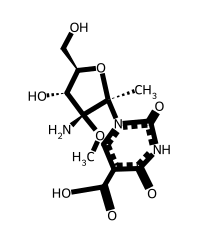 CO[C@]1(N)[C@H](O)[C@@H](CO)O[C@@]1(C)n1cc(C(=O)O)c(=O)[nH]c1=O